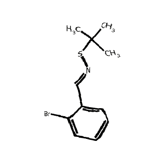 CC(C)(C)SN=Cc1ccccc1Br